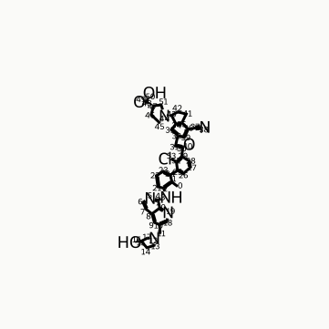 Cc1c(Nc2nccc3cc(CN4CC[C@@H](O)C4)cnc23)cccc1-c1cccc(-c2cc3cc4c(c(C#N)c3o2)CC[C@H]4N2CC[C@@H](C(=O)O)C2)c1Cl